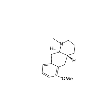 COc1cccc2c1C[C@H]1CCCN(C)[C@@H]1C2